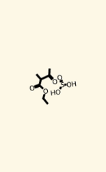 CCOC(=O)C(C)C(C)=O.O=S(O)O